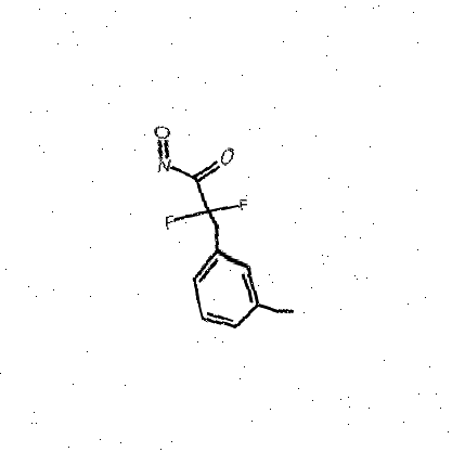 Cc1cccc(C(F)(F)C(=O)N=O)c1